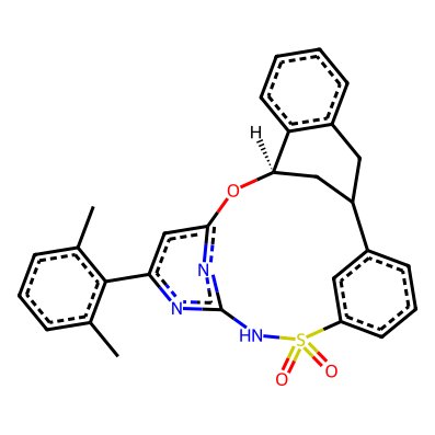 Cc1cccc(C)c1-c1cc2nc(n1)NS(=O)(=O)c1cccc(c1)C1Cc3ccccc3[C@@H](C1)O2